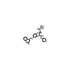 Cc1cc(COc2ccc(C[C@]3(C(=O)NCc4ccncc4)C[C@@H]3C(=O)NO)cc2)c2ccccc2n1